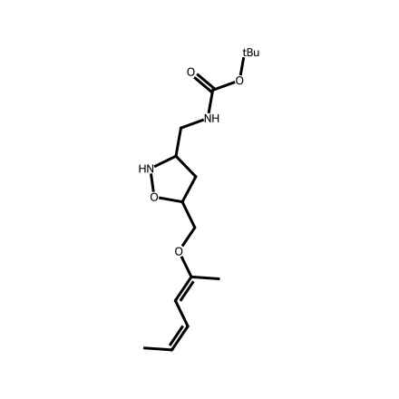 C/C=C\C=C(/C)OCC1CC(CNC(=O)OC(C)(C)C)NO1